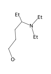 CCC(CCC[O])N(CC)CC